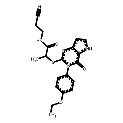 CCOc1ccc(-n2c(SC(C)C(=O)NCCC#N)nc3cc[nH]c3c2=O)cc1